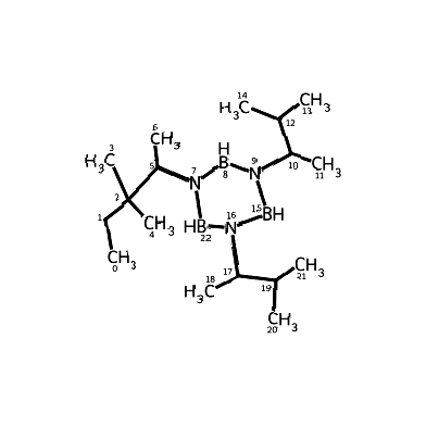 CCC(C)(C)C(C)N1BN(C(C)C(C)C)BN(C(C)C(C)C)B1